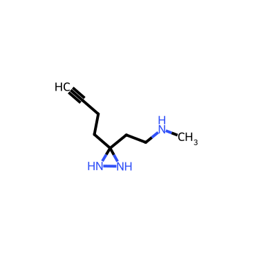 C#CCCC1(CCNC)NN1